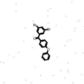 O=C(c1ccc(Oc2ccccc2)cc1)c1cc(Br)cc(Br)c1